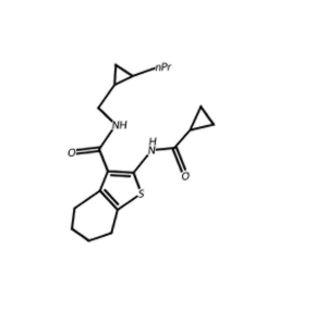 CCCC1CC1CNC(=O)c1c(NC(=O)C2CC2)sc2c1CCCC2